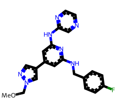 COCn1cc(-c2cc(NCc3ccc(F)cc3)nc(Nc3cnccn3)c2)cn1